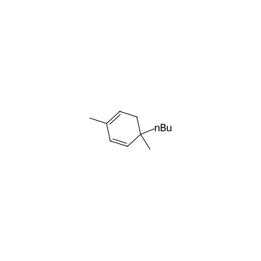 CCCCC1(C)C=CC(C)=CC1